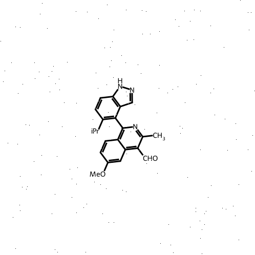 COc1ccc2c(-c3c(C(C)C)ccc4[nH]ncc34)nc(C)c(C=O)c2c1